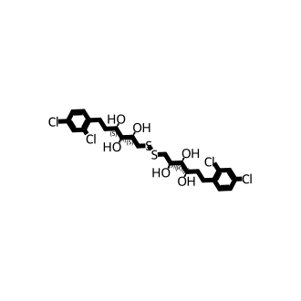 O[C@@H]([C@H](O)CSSC[C@@H](O)[C@H](O)[C@@H](O)CCc1ccc(Cl)cc1Cl)[C@@H](O)CCc1ccc(Cl)cc1Cl